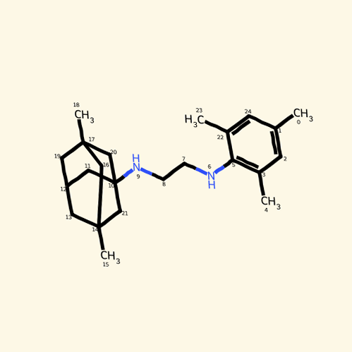 Cc1cc(C)c(NCCNC23CC4CC(C)(CC(C)(C4)C2)C3)c(C)c1